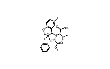 CNC(C(N)=O)N1C2c3cc(F)ccc3OC[C@H]2[C@@H](c2ccccc2)N1C(=O)OC